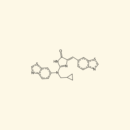 O=C1NC(N(CC2CC2)c2ccc3ncsc3c2)=N/C1=C\c1ccc2ncsc2c1